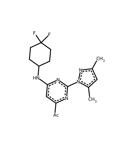 CC(=O)c1cc(NC2CCC(F)(F)CC2)nc(-n2nc(C)cc2C)n1